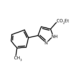 CCOC(=O)c1cc(-c2cccc(C)c2)n[nH]1